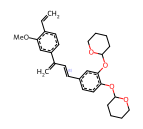 C=Cc1ccc(C(=C)/C=C/c2ccc(OC3CCCCO3)c(OC3CCCCO3)c2)cc1OC